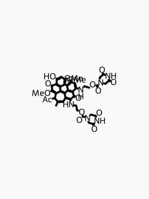 COc1c2c3c4c(c(NCCOC(=O)N5CC(=O)NC(=O)C5)c(=O)c5c(NCCOC(=O)N6CC(=O)NC(=O)C6)cc(OC)c(c6c(OC)cc(O)c(c1=O)c63)c54)C=C(C)C2C(C)=O